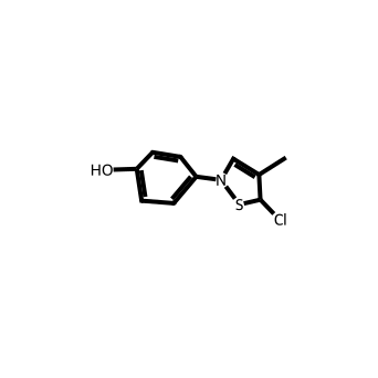 CC1=CN(c2ccc(O)cc2)SC1Cl